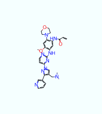 C=CC(=O)Nc1cc(Nc2nccc(-n3cc(CN(C)C)c(-c4cccnc4)n3)n2)c(OC)cc1N1CCOCC1